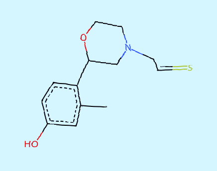 Cc1cc(O)ccc1C1CN(CC=S)CCO1